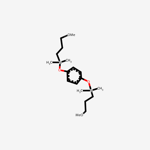 COCCC[Si](C)(C)Oc1ccc(O[Si](C)(C)CCCOC)cc1